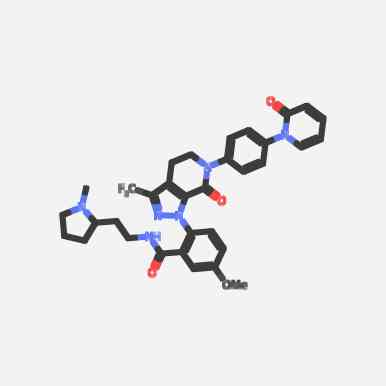 COc1ccc(-n2nc(C(F)(F)F)c3c2C(=O)N(c2ccc(-n4ccccc4=O)cc2)CC3)c(C(=O)NCCC2CCCN2C)c1